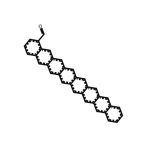 O=Cc1cccc2cc3cc4cc5cc6cc7cc8ccccc8cc7cc6cc5cc4cc3cc12